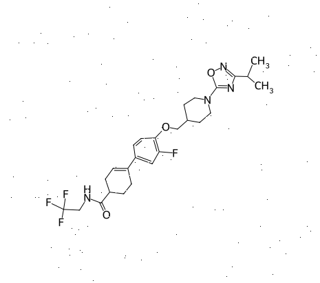 CC(C)c1noc(N2CCC(COc3ccc(C4=CCC(C(=O)NCC(F)(F)F)CC4)cc3F)CC2)n1